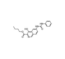 CCCCOC(=O)c1ncc2ccc(NC(=O)Nc3ccccc3)cc2c1O